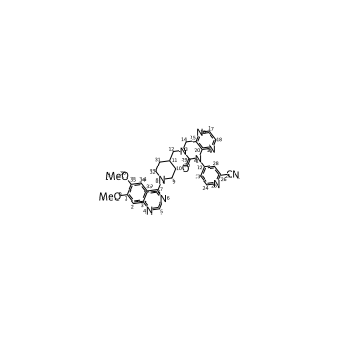 COc1cc2ncnc(N3CCC(CN4Cc5nccnc5N(c5ccnc(C#N)c5)C4=O)CC3)c2cc1OC